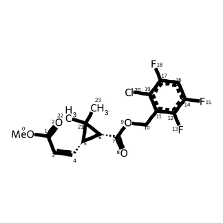 COC(=O)/C=C\[C@H]1[C@@H](C(=O)OCc2c(F)c(F)cc(F)c2Cl)C1(C)C